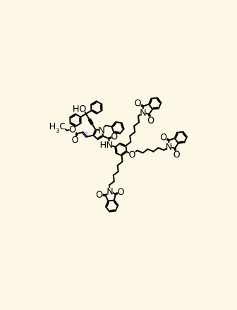 CCOC(=O)/C=C/c1cc(C(=O)Nc2cc(CCCCCCN3C(=O)c4ccccc4C3=O)c(OCCCCCCN3C(=O)c4ccccc4C3=O)c(CCCCCCN3C(=O)c4ccccc4C3=O)c2)n(Cc2ccccc2)c1C#CC(O)(c1ccccc1)c1ccccc1